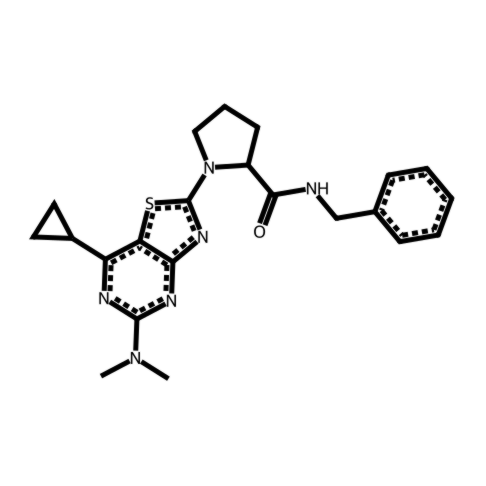 CN(C)c1nc(C2CC2)c2sc(N3CCCC3C(=O)NCc3ccccc3)nc2n1